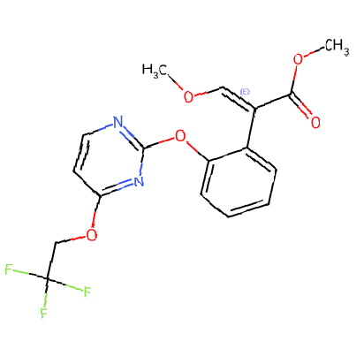 CO/C=C(/C(=O)OC)c1ccccc1Oc1nccc(OCC(F)(F)F)n1